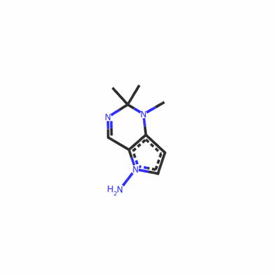 CN1c2ccn(N)c2C=NC1(C)C